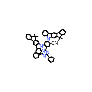 CC1(C)c2ccccc2-c2cc3c4ccccc4n(-c4cc(-n5c6ccccc6c6cc7c(cc65)C(C)(C)c5ccccc5-7)c(-c5nc(-c6ccccc6)nc(-c6ccccc6)n5)cc4C#N)c3cc21